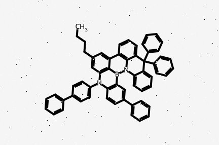 CCCCc1cc2c3c(c1)N(c1ccc(-c4ccccc4)cc1)c1ccc(-c4ccccc4)cc1B3N1c3ccccc3C(c3ccccc3)(c3ccccc3)c3cccc-2c31